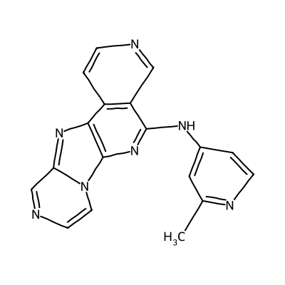 Cc1cc(Nc2nc3c(nc4cnccn43)c3ccncc23)ccn1